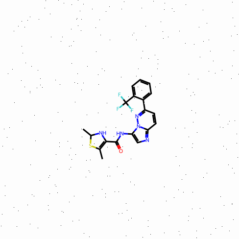 CC1=C(C(=O)Nc2cnc3ccc(-c4ccccc4C(F)(F)F)nn23)NC(C)S1